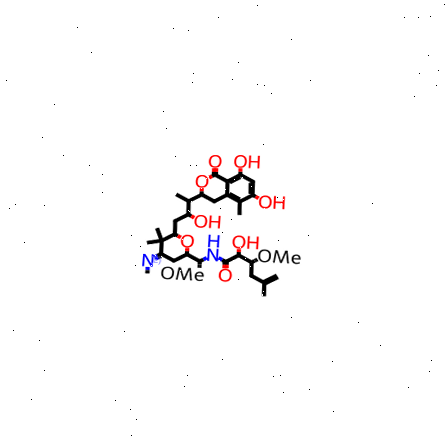 C=C(C)CC(OC)C(O)C(=O)NC(OC)C1C/C(=N\C)C(C)(C)C(CC(O)C(C)C2Cc3c(C)c(O)cc(O)c3C(=O)O2)O1